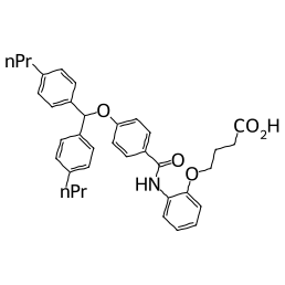 CCCc1ccc(C(Oc2ccc(C(=O)Nc3ccccc3OCCCC(=O)O)cc2)c2ccc(CCC)cc2)cc1